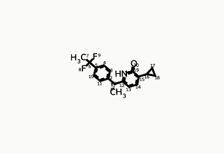 C[C@H](c1ccc(C(C)(F)F)cc1)c1ccc(C2CC2)c(=O)[nH]1